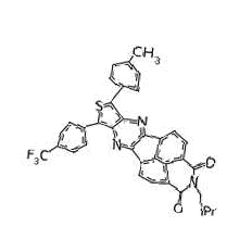 Cc1ccc(-c2sc(-c3ccc(C(F)(F)F)cc3)c3nc4c(nc23)-c2ccc3c5c(ccc-4c25)C(=O)N(CC(C)C)C3=O)cc1